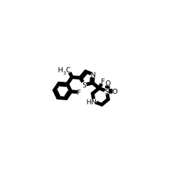 CC(c1cnc(C2(F)CNCCS2(=O)=O)s1)c1ccccc1F